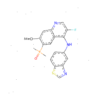 COc1cc2ncc(F)c(Nc3ccc4scnc4c3)c2cc1P(C)(C)=O